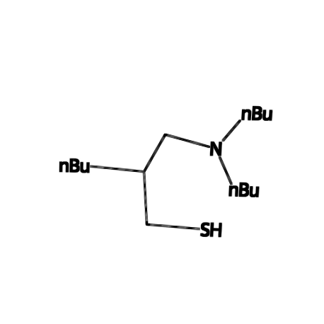 CCCCC(CS)CN(CCCC)CCCC